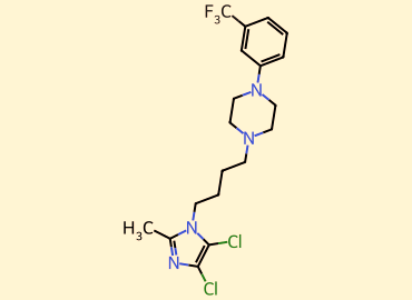 Cc1nc(Cl)c(Cl)n1CCCCN1CCN(c2cccc(C(F)(F)F)c2)CC1